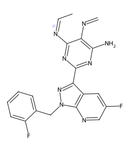 C=Nc1c(N)nc(-c2nn(Cc3ccccc3F)c3ncc(F)cc23)nc1/N=C\C